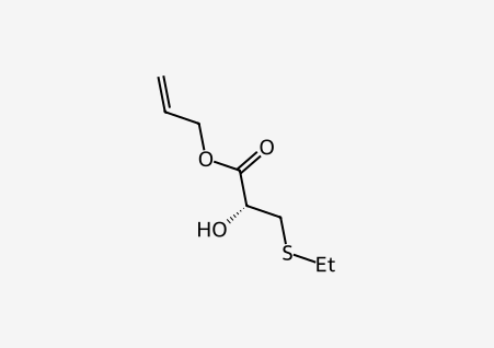 C=CCOC(=O)[C@@H](O)CSCC